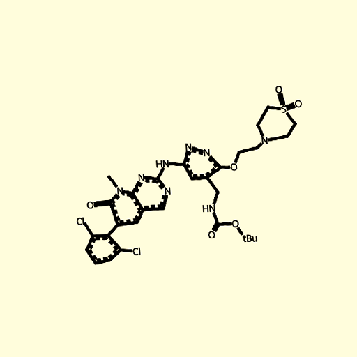 Cn1c(=O)c(-c2c(Cl)cccc2Cl)cc2cnc(Nc3cc(CNC(=O)OC(C)(C)C)c(OCCN4CCS(=O)(=O)CC4)nn3)nc21